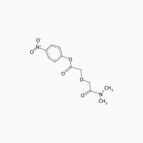 CN(C)C(=O)COCC(=O)Oc1ccc([N+](=O)[O-])cc1